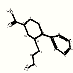 O=C(O)C1CCC(c2ccccc2)C(CCCCl)C1